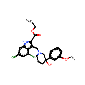 CCOC(=O)c1[nH]c2cc(Cl)cc(Cl)c2c1CN1CCCC(O)(c2cccc(OC)c2)C1